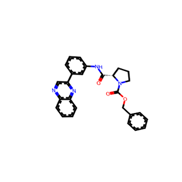 O=C(Nc1cccc(-c2cnc3ccccc3n2)c1)[C@@H]1CCCN1C(=O)OCc1ccccc1